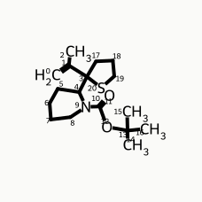 C=C(C)C1(C2CCCCN2C(=O)OC(C)(C)C)CCCS1